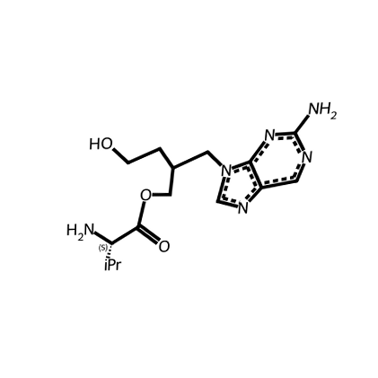 CC(C)[C@H](N)C(=O)OCC(CCO)Cn1cnc2cnc(N)nc21